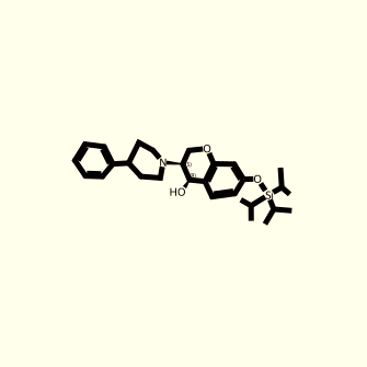 CC(C)[Si](Oc1ccc2c(c1)OC[C@H](N1CCC(c3ccccc3)CC1)[C@@H]2O)(C(C)C)C(C)C